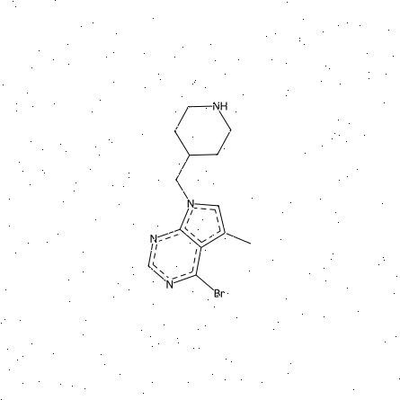 Cc1cn(CC2CCNCC2)c2ncnc(Br)c12